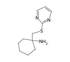 NC1(CSc2ncccn2)CCCCC1